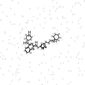 c1ccc2c(NC3CCNCC3)nc(NCc3cn(CCCNC4CCCCC4)nn3)nc2c1